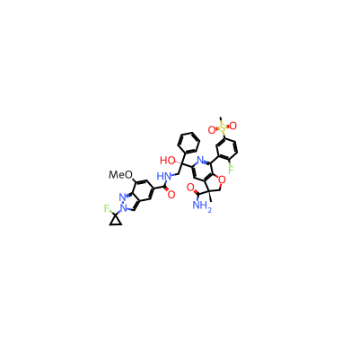 COc1cc(C(=O)NC[C@@](O)(c2ccccc2)c2cc3c(c(-c4cc(S(C)(=O)=O)ccc4F)n2)OC[C@]3(C)C(N)=O)cc2cn(C3(F)CC3)nc12